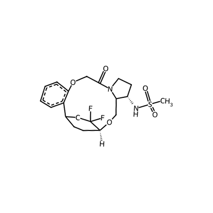 CS(=O)(=O)N[C@H]1CCN2C(=O)COc3ccccc3C3CC[C@H](OCC12)C(F)(F)C3